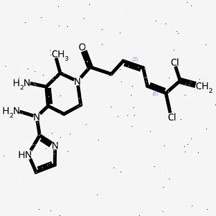 C=C(Cl)/C(Cl)=C\C=C/CC(=O)N1CCC(N(N)c2ncc[nH]2)=C(N)C1C